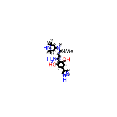 CN/C(=C\C=C(/N)c1c(O)cc(-c2cn[nH]c2)cc1O)N(C)C1CC(C)(C)NC(C)(C)C1